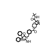 CC(C)(C)NC(=O)c1nnc2n1CCN(C(=O)c1cccc(CN3C(=N)NC(c4ccccc4)(c4ccccc4)C3=O)c1)C2